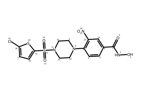 O=C(NO)c1ccc(N2CCN(S(=O)(=O)c3ccc(Cl)s3)CC2)c([N+](=O)[O-])c1